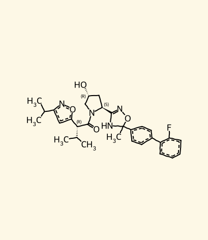 CC(C)c1cc([C@H](C(=O)N2C[C@H](O)C[C@H]2C2=NOC(C)(c3ccc(-c4ccccc4F)cc3)N2)C(C)C)on1